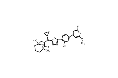 COc1cc(-c2ccc(-c3nnc(N(C4CC4)[C@@H]4C[C@@]5(C)CCC[C@](C)(N5)[C@@H]4F)s3)c(O)c2)cc(F)n1